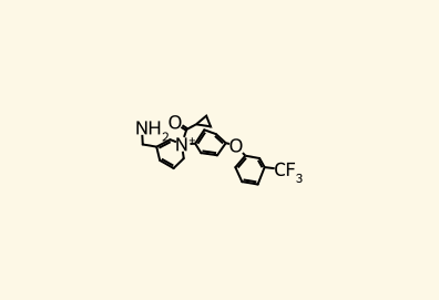 NCC1=C[N+](C(=O)C2CC2)(c2ccc(Oc3cccc(C(F)(F)F)c3)cc2)CC=C1